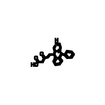 CCC(CCC(=O)CC(=O)O)C1CNCCN1C(c1ccccc1)c1ccccc1